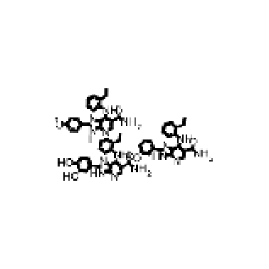 CCc1ccccc1Nc1c(C(N)=O)cnc2[nH]c(-c3ccc(O)c(O)c3)nc12.CCc1ccccc1Nc1c(C(N)=O)cnc2[nH]c(-c3ccc(OC)cc3)nc12.CCc1ccccc1Nc1c(C(N)=O)cnc2[nH]c(-c3cccc(O)c3)nc12